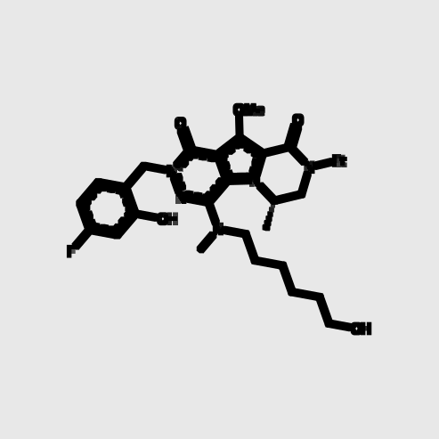 CCN1C[C@H](C)n2c(c(OC)c3c(=O)n(Cc4ccc(F)cc4O)nc(N(C)CCCCCCO)c32)C1=O